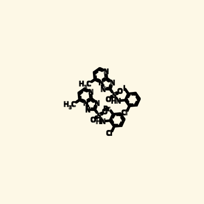 Cc1ccnc2nc(S(=O)(=O)Nc3c(Cl)cccc3Br)nn12.Cc1ccnc2nc(S(=O)(=O)Nc3c(Cl)cccc3I)nn12